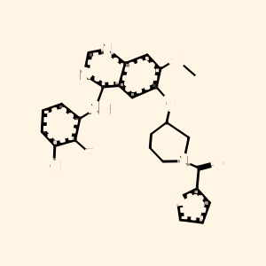 COc1cc2ncnc(Nc3cccc(Cl)c3F)c2cc1OC1CCCN(C(=O)c2cccs2)C1